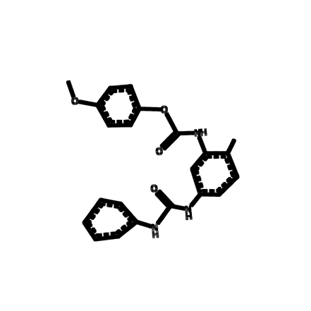 COc1ccc(OC(=O)Nc2cc(NC(=O)Nc3ccccc3)ccc2C)cc1